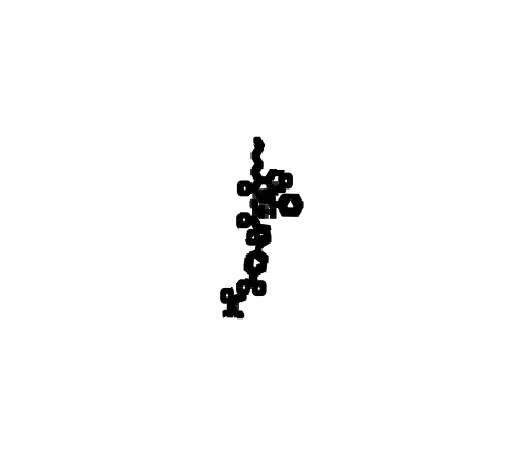 CCCCCC(C(=O)NCNC(=O)c1ccc(-c2ccc(C(=O)OCC(=O)N(C)C)cc2)o1)C(CC)N(C=O)OCc1ccccc1